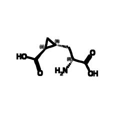 N[C@H](C[C@H]1C[C@@H]1C(=O)O)C(=O)O